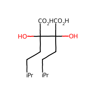 CC(C)CCC(O)(C(=O)O)C(O)(CCC(C)C)C(=O)O